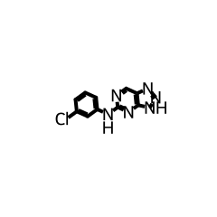 Clc1cccc(Nc2ncc3nn[nH]c3n2)c1